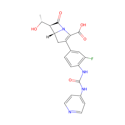 C[C@@H](O)[C@H]1C(=O)N2C(C(=O)O)=C(c3ccc(NC(=O)Nc4ccncc4)c(F)c3)C[C@H]12